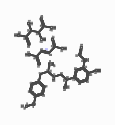 COc1ccc(C[C@@H](C)NC[C@H](O)c2ccc(O)c(NC=O)c2)cc1.O=C(O)/C=C/C(=O)O.O=C(O)C(O)C(O)C(=O)O